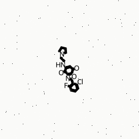 O=C1C(NCCN2CCCC2)=CC(=O)c2oc(-c3c(F)cccc3Cl)nc21